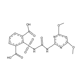 COc1cc(OC)nc(NC(=O)NS(=O)(=O)c2c(C(=O)O)cccc2C(=O)O)n1